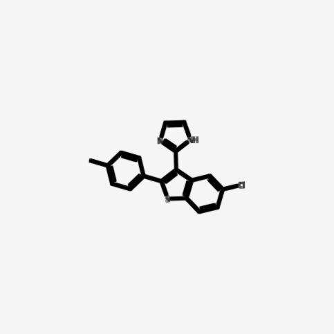 Cc1ccc(-c2sc3ccc(Cl)cc3c2-c2ncc[nH]2)cc1